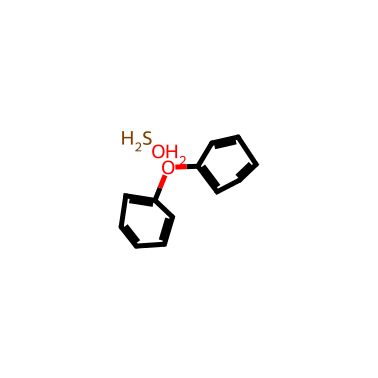 O.S.c1ccc(Oc2ccccc2)cc1